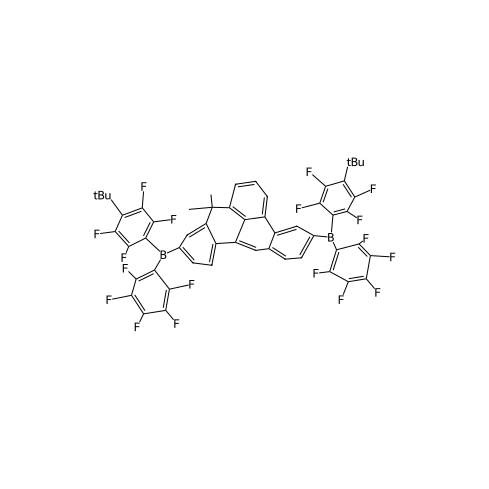 CC(C)(C)c1c(F)c(F)c(B(c2ccc3c(c2)C(C)(C)c2cccc4c2c-3cc2ccc(B(c3c(F)c(F)c(F)c(F)c3F)c3c(F)c(F)c(C(C)(C)C)c(F)c3F)cc24)c2c(F)c(F)c(F)c(F)c2F)c(F)c1F